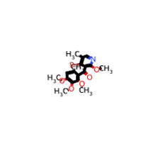 COc1cc(C)c(C(=O)c2c(OC)ncc(C)c2Br)c(OC)c1OC